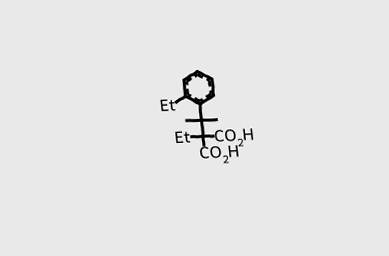 CCc1ccccc1C(C)(C)C(CC)(C(=O)O)C(=O)O